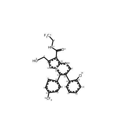 O=C(NCC(F)(F)F)c1c(CO)nn2c(-c3ccc(C(F)(F)F)cc3)c(-c3ccccc3Cl)cnc12